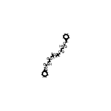 CC(C)(COC(=O)CCNC(=O)OCC1C2CCCCCCC21)COC(C)(C)COC(=O)CCNC(=O)OC[C@@H]1C2CC/C=C\CCC21C